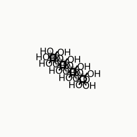 OCC1O[C@@H](O[C@H]2C(O)[C@H](O[C@H]3C(O)[C@H](O[C@H]4C(O)[C@H](O)OC(CO)[C@H]4O)OC(CO)[C@H]3O)OC(CO)[C@H]2O)C(O)[C@H](O)[C@@H]1O